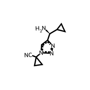 N#CC1(n2cc([C@@H](N)C3CC3)nn2)CC1